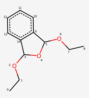 CCOC1OC(OCC)c2ccccc21